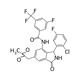 CS(=O)(=O)Cc1cc(NC(=O)c2cc(F)cc(C(F)(F)F)c2)c2c(c1)C(=O)NC2c1cc(F)ccc1Cl